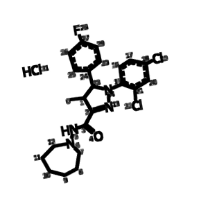 CC1C(C(=O)NN2CCCCCC2)=NN(c2ccc(Cl)cc2Cl)C1c1ccc(F)cc1.Cl